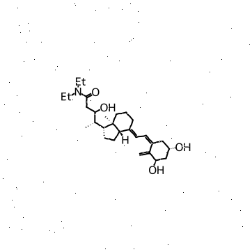 C=C1/C(=C\C=C2CCC[C@]3(C)[C@@H]([C@H](C)C(O)CC(=O)N(CC)CC)CC[C@@H]23)C[C@H](O)C[C@H]1O